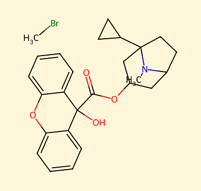 CBr.CN1C2CCC1(C1CC1)CC(OC(=O)C1(O)c3ccccc3Oc3ccccc31)C2